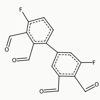 O=Cc1cc(-c2ccc(F)c(C=O)c2C=O)cc(F)c1C=O